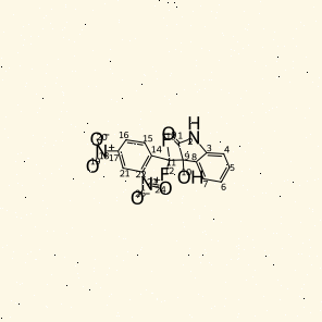 O=C1Nc2ccccc2C1(O)C(F)(F)c1ccc([N+](=O)[O-])cc1[N+](=O)[O-]